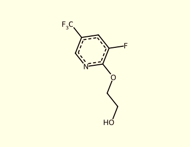 OCCOc1ncc(C(F)(F)F)cc1F